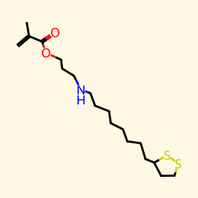 C=C(C)C(=O)OCCCNCCCCCCCCC1CCSS1